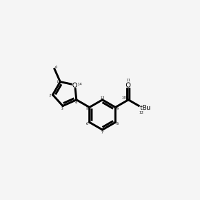 Cc1ccc(-c2cccc(C(=O)C(C)(C)C)c2)o1